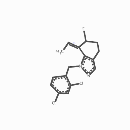 [CH2]/C=C1\c2c(cnn2Cc2ccc(Cl)cc2Cl)CCC1F